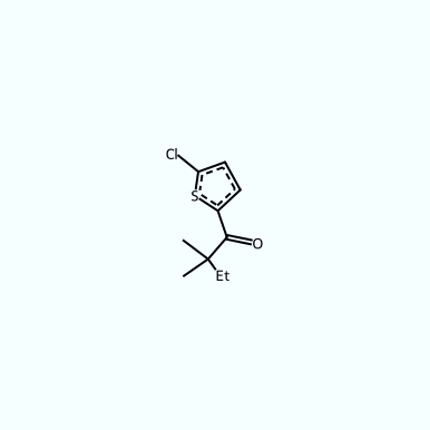 CCC(C)(C)C(=O)c1ccc(Cl)s1